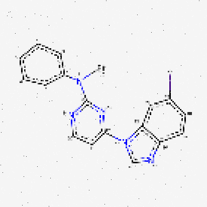 CCN(c1ccccc1)c1nccc(-n2cnc3ccc(I)cc32)n1